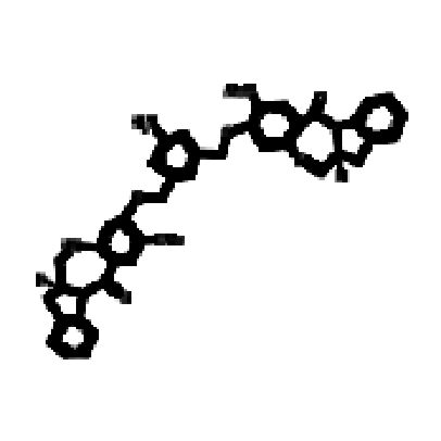 COc1cc2c(cc1OCc1cc(N)cc(COc3cc4c(cc3OC)C(=O)C3c5ccccc5C[C@H]3CN4)c1)N=C[C@@H]1Cc3ccccc3N1C2=O